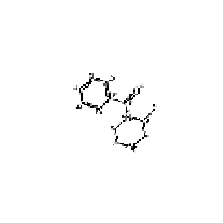 CC1C[N]CCN1C(=O)c1ccccc1